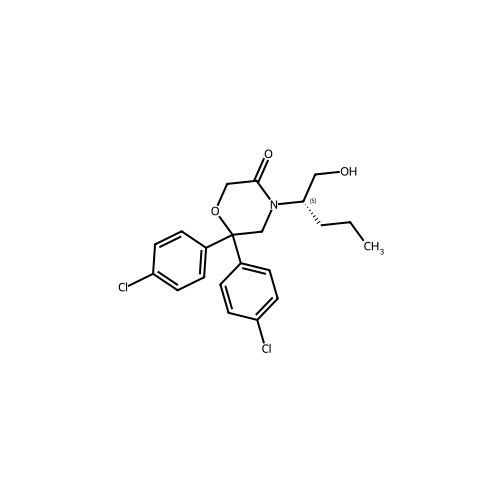 CCC[C@@H](CO)N1CC(c2ccc(Cl)cc2)(c2ccc(Cl)cc2)OCC1=O